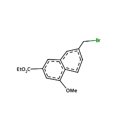 CCOC(=O)c1cc(OC)c2ccc(CBr)cc2c1